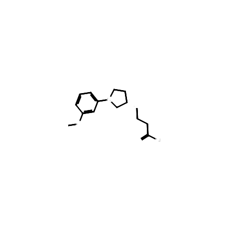 COc1cccc(N2CC[C@H](CCCC(N)=O)C2)c1